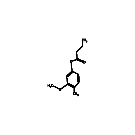 CCCC(=O)Oc1ccc(C)c(OC)c1